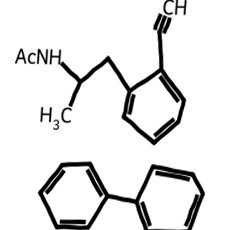 C#Cc1ccccc1CC(C)NC(C)=O.c1ccc(-c2ccccc2)cc1